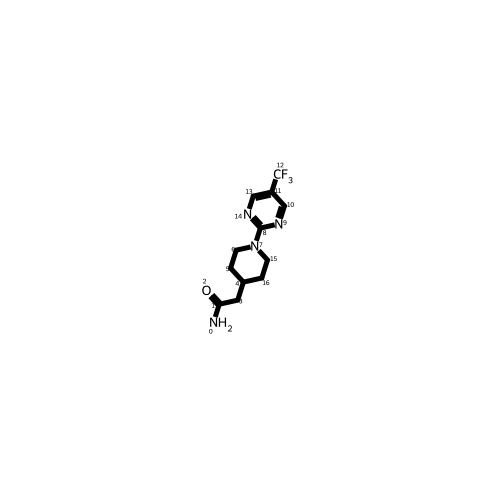 NC(=O)CC1CCN(c2ncc(C(F)(F)F)cn2)CC1